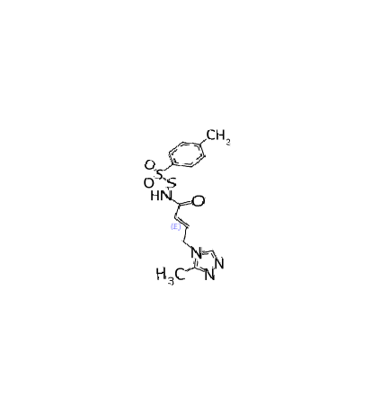 Cc1ccc(S(=O)(=O)SNC(=O)/C=C/Cn2cnnc2C)cc1